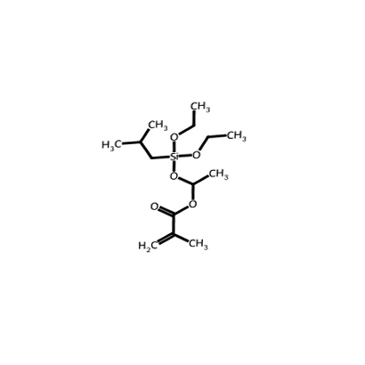 C=C(C)C(=O)OC(C)O[Si](CC(C)C)(OCC)OCC